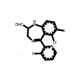 O=CC1CN=C(c2ncccc2F)c2c(ccc(I)c2Cl)N1